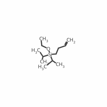 C=CCC[Si](OCC)(C(C)C)C(C)C